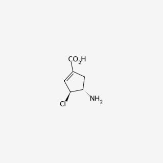 N[C@H]1CC(C(=O)O)=C[C@@H]1Cl